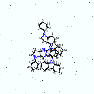 c1ccc(-n2ccc3c2ccc2c4ccccc4n(-c4nc(-c5cccc6c7ccccc7n(-c7ccccc7)c56)c5c(ccn5-c5ccccc5)n4)c23)cc1